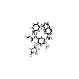 C=CC(=O)Nc1cc(Nc2ncn3ccc(-c4cccc(F)c4)c3n2)c(OC)cc1OC1CCN(C)C1